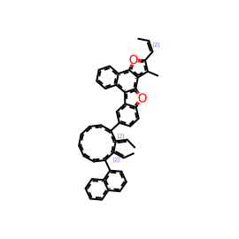 C/C=C\c1oc2c3ccccc3c3c4cc(-c5ccccccc(-c6cccc7ccccc67)c(=C/C)/c5=C\C)ccc4oc3c2c1C